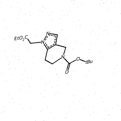 CCOC(=O)Cn1ncc2c1CCN(C(=O)OC(C)(C)C)C2